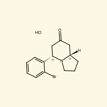 Cl.O=C1C[C@@H]2CCCN2[C@H](c2ccccc2Br)C1